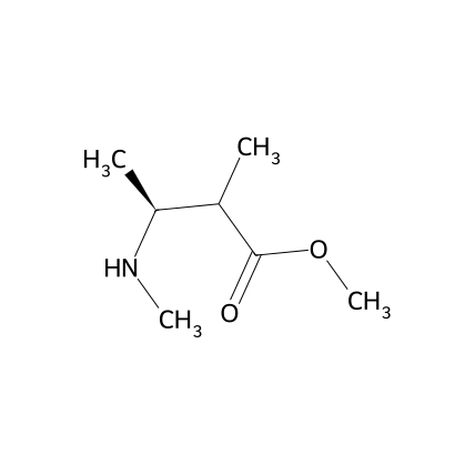 CN[C@@H](C)C(C)C(=O)OC